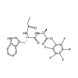 CCC(=O)N[C@@H](Cc1c[nH]c2ccccc12)C(=O)N[C@@H](C)C(=O)Oc1c(F)c(F)c(F)c(F)c1F